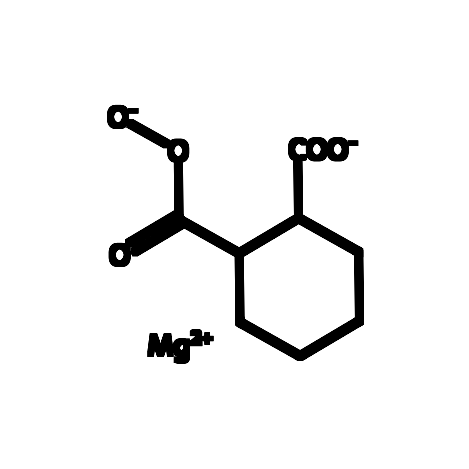 O=C([O-])C1CCCCC1C(=O)O[O-].[Mg+2]